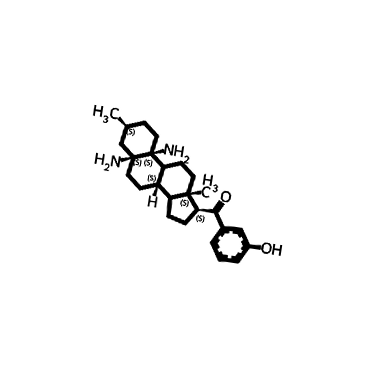 C[C@H]1CC[C@]2(N)C3CC[C@@]4(C)C(CC[C@@H]4C(=O)c4cccc(O)c4)[C@@H]3CC[C@]2(N)C1